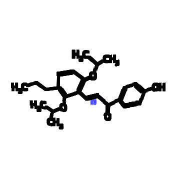 CCCc1ccc(OC(C)C)c(/C=C/C(=O)c2ccc(O)cc2)c1OC(C)C